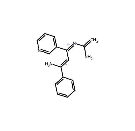 C=C(N)/N=C(\C=C(/N)c1ccccc1)c1cccnc1